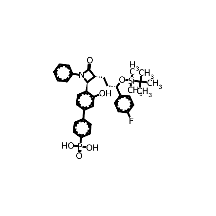 CC(C)(C)[Si](C)(C)O[C@@H](CC[C@H]1C(=O)N(c2ccccc2)[C@@H]1c1ccc(-c2ccc(P(=O)(O)O)cc2)cc1O)c1ccc(F)cc1